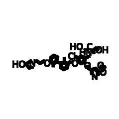 Cc1c(COc2cc(OCc3cncc(S(C)(=O)=O)c3)c(CNC(C)(CO)C(=O)O)cc2Cl)cccc1-c1cccc(OCCCN2CC[C@@H](O)C2)c1C